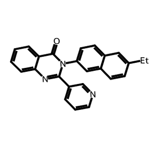 CCc1ccc2cc(-n3c(-c4cccnc4)nc4ccccc4c3=O)ccc2c1